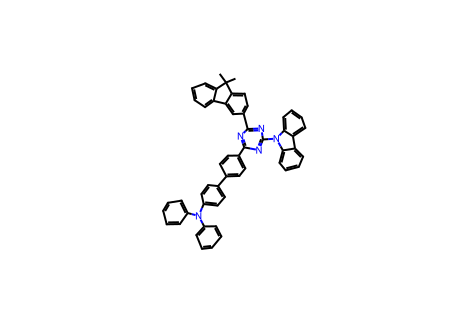 CC1(C)c2ccccc2-c2cc(-c3nc(-c4ccc(-c5ccc(N(c6ccccc6)c6ccccc6)cc5)cc4)nc(-n4c5ccccc5c5ccccc54)n3)ccc21